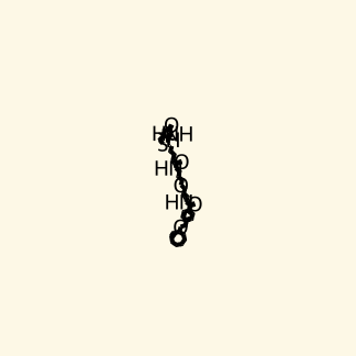 O=C(CCCC[C@@H]1SC[C@@H]2CC(=O)N[C@@H]21)NCCCOCCCNC(=O)c1ccc(COC2C#CCCCCC2)cc1